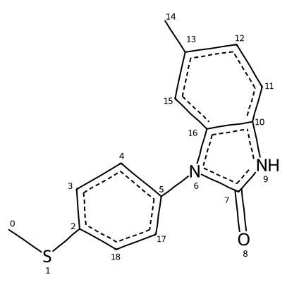 CSc1ccc(-n2c(=O)[nH]c3ccc(C)cc32)cc1